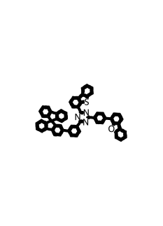 c1cc(-c2ccc3c(c2)C2(c4ccccc4-c4ccccc42)c2ccccc2-3)cc(-c2nc(-c3ccc(-c4cccc5c4oc4ccccc45)cc3)nc(-c3cccc4c3sc3ccccc34)n2)c1